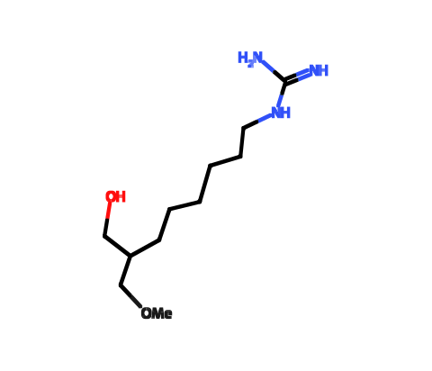 COCC(CO)CCCCCCNC(=N)N